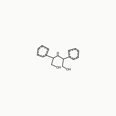 OCC(NC(CO)c1ccccc1)c1ccccc1